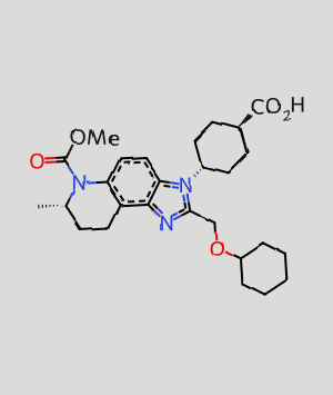 COC(=O)N1c2ccc3c(nc(COC4CCCCC4)n3[C@H]3CC[C@H](C(=O)O)CC3)c2CC[C@@H]1C